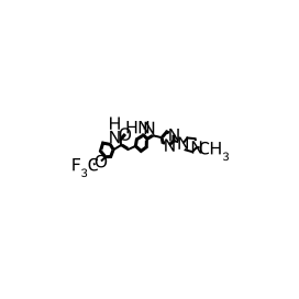 CN1CCN(c2ncc(-c3n[nH]c4cc(C=C5C(=O)Nc6ccc(OC(F)(F)F)cc65)ccc34)cn2)CC1